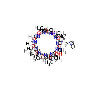 C/C=C/C[C@@H](C)[C@@H](O)[C@H]1C(=O)N[C@@H](CC)C(=O)N(C)C(C/C=C/CCC[n+]2cccc3ccccc32)C(=O)N(C)[C@@H](CC(C)C)C(=O)N[C@@H](C(C)C)C(=O)N(C)[C@@H](CC(C)C)C(=O)N[C@@H](C)C(=O)N[C@H](C)C(=O)N(C)[C@@H](CC(C)C)C(=O)N(C)[C@@H](CC(C)C)C(=O)N(C)[C@@H](C(C)C)C(=O)N1C